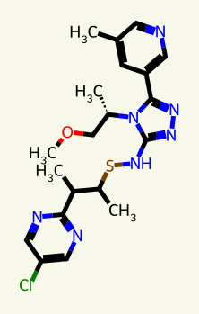 COC[C@H](C)n1c(NSC(C)C(C)c2ncc(Cl)cn2)nnc1-c1cncc(C)c1